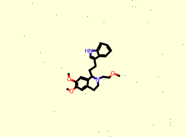 COCCN1CCc2cc(OC)c(OC)cc2C1CCc1c[nH]c2ccccc12